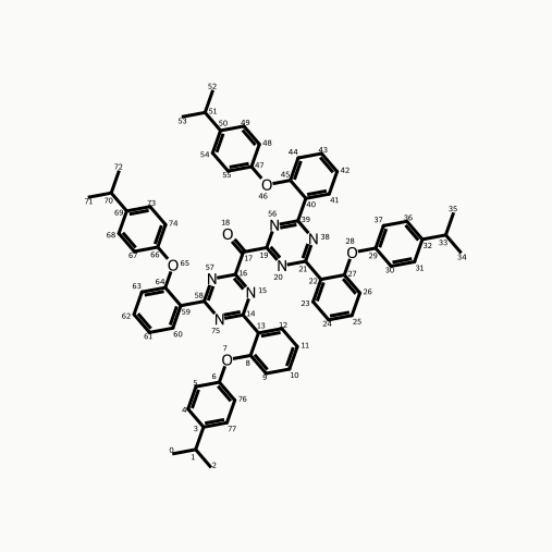 CC(C)c1ccc(Oc2ccccc2-c2nc(C(=O)c3nc(-c4ccccc4Oc4ccc(C(C)C)cc4)nc(-c4ccccc4Oc4ccc(C(C)C)cc4)n3)nc(-c3ccccc3Oc3ccc(C(C)C)cc3)n2)cc1